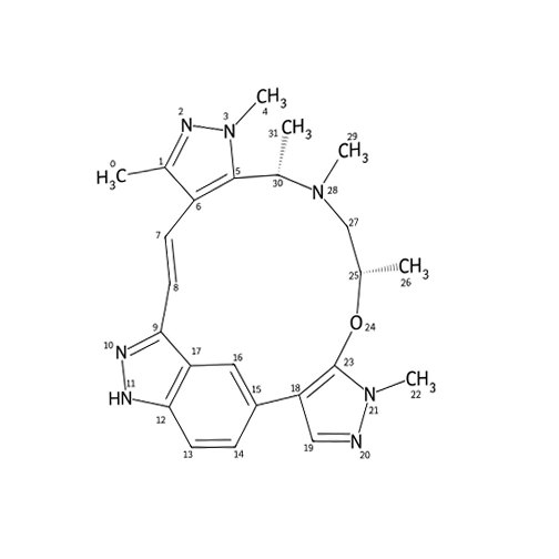 Cc1nn(C)c2c1/C=C/c1n[nH]c3ccc(cc13)-c1cnn(C)c1O[C@@H](C)CN(C)[C@H]2C